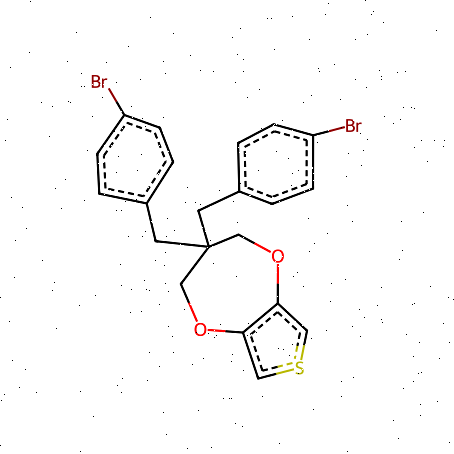 Brc1ccc(CC2(Cc3ccc(Br)cc3)COc3cscc3OC2)cc1